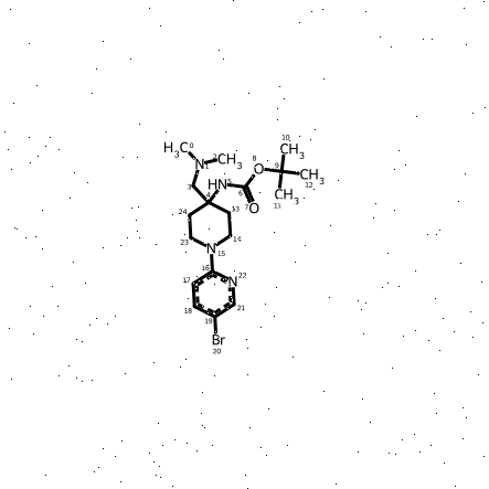 CN(C)CC1(NC(=O)OC(C)(C)C)CCN(c2ccc(Br)cn2)CC1